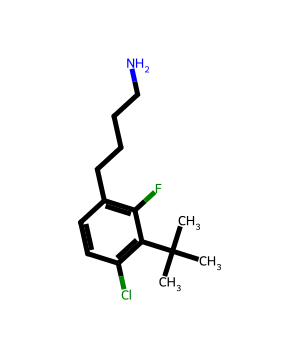 CC(C)(C)c1c(Cl)ccc(CCCCN)c1F